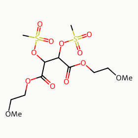 COCCOC(=O)C(OS(C)(=O)=O)C(OS(C)(=O)=O)C(=O)OCCOC